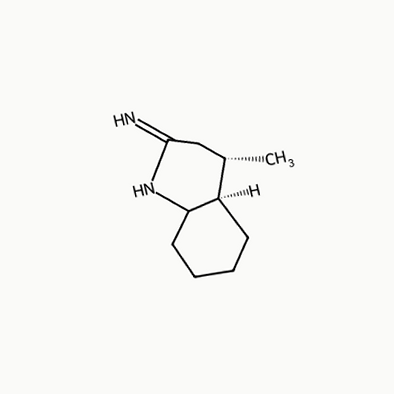 C[C@H]1CC(=N)NC2CCCC[C@@H]21